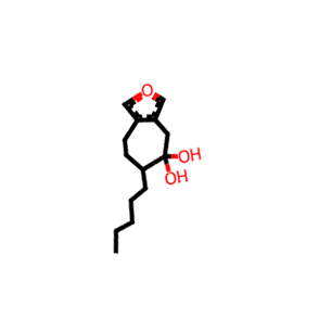 CCCCCC1CCc2cocc2CC1(O)O